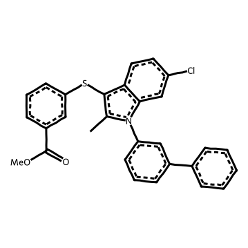 COC(=O)c1cccc(Sc2c(C)n(-c3cccc(-c4ccccc4)c3)c3cc(Cl)ccc23)c1